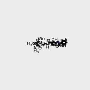 Cc1c(C(=O)NCCNC(=O)[C@H](C)N(C)C(=O)OC(C)(C)C)c[nH]c1/C=C1\C(=O)Nc2ccc(F)cc21